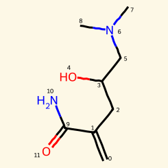 C=C(CC(O)CN(C)C)C(N)=O